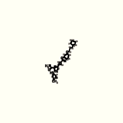 Cn1cc(Nc2ncc(C3CN(c4nc5ccc(OCCCc6ccccc6)cc5o4)C3)nc2C(N)=O)cn1